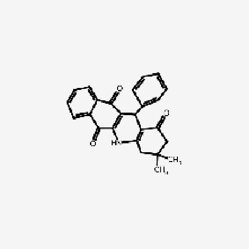 CC1(C)CC(=O)C2=C(C1)NC1=C(C(=O)c3ccccc3C1=O)C2c1ccccc1